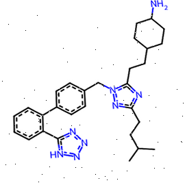 CC(C)CCc1nc(CCC2CCC(N)CC2)n(Cc2ccc(-c3ccccc3-c3nnn[nH]3)cc2)n1